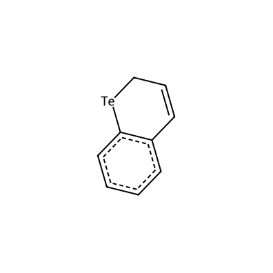 C1=Cc2ccccc2[Te]C1